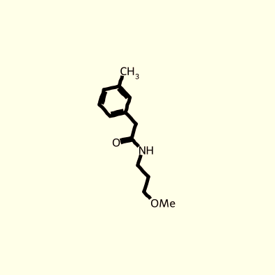 COCCCNC(=O)Cc1cccc(C)c1